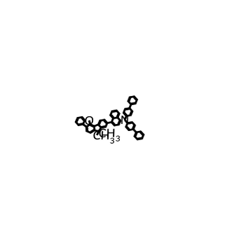 CC1(C)c2cc(-c3ccc(N(c4ccc(-c5ccccc5)cc4)c4ccc(-c5ccccc5)cc4)c4ccccc34)ccc2-c2c1ccc1c2oc2ccccc21